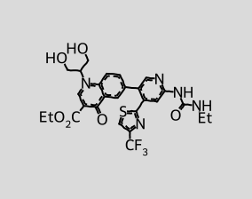 CCNC(=O)Nc1cc(-c2nc(C(F)(F)F)cs2)c(-c2ccc3c(c2)c(=O)c(C(=O)OCC)cn3C(CO)CO)cn1